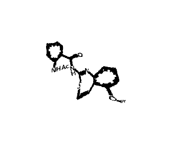 CC(=O)Nc1ccccc1C(=O)NC1=Nc2cccc(OC(C)C)c2C=CS1